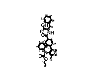 CCOC(=O)N(c1ccccc1)c1c(C)noc1-c1ccc(C(=O)NC(Cc2ccccc2)C(=O)O)cc1